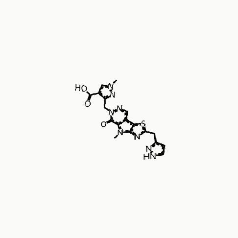 Cn1cc(C(=O)O)c(Cn2ncc3c4sc(Cc5cc[nH]n5)nc4n(C)c3c2=O)n1